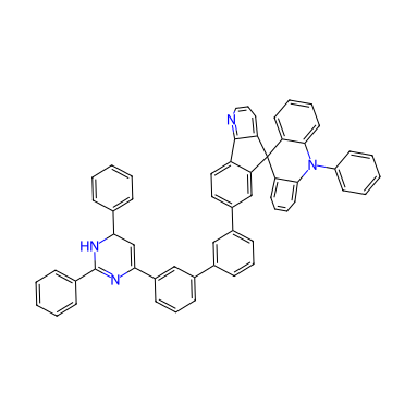 C1=C(c2cccc(-c3cccc(-c4ccc5c(c4)C4(c6ccccc6N(c6ccccc6)c6ccccc64)c4cccnc4-5)c3)c2)N=C(c2ccccc2)NC1c1ccccc1